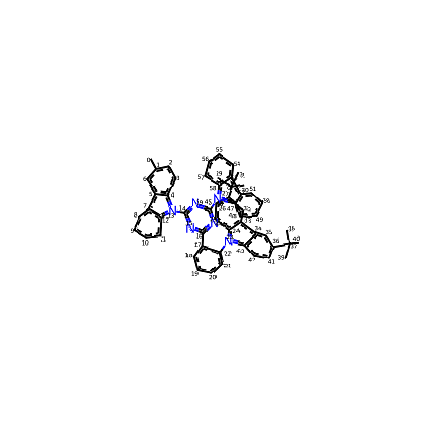 Cc1ccc2c(c1)c1ccccc1n2-c1nc(-c2ccccc2-n2c3ccc(C(C)(C)C)cc3c3cc(C(C)(C)C)ccc32)nc(-n2c3ccccc3c3ccccc32)n1